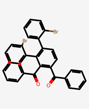 O=C(c1ccccc1)c1ccc(-c2ccccc2Br)c(-c2ccccc2Br)c1C(=O)c1ccccc1